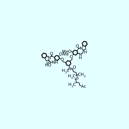 COc1cc2c(cc1OCc1cc(COc3cc4c(cc3OC)C(=O)N3c5ccccc5C[C@H]3C(O)N4)cc(N(C)C(=O)CCC(C)(C)SSC(C)CCC(C)=O)c1)NC[C@@H]1Cc3ccccc3N1C2=O